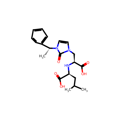 CC(C)C[C@H](N[C@@H](Cn1ccn([C@H](C)c2ccccc2)c1=O)C(=O)O)C(=O)O